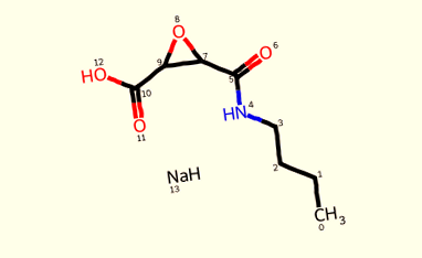 CCCCNC(=O)C1OC1C(=O)O.[NaH]